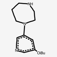 CC(C)COc1cncc(N2CCCNCC2)c1